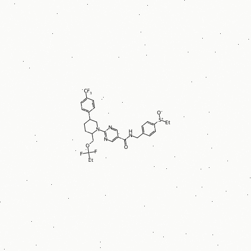 CC[S+]([O-])c1ccc(CNC(=O)c2cnc(N3CC(c4ccc(C(F)(F)F)cc4)CCC3COC(F)(F)CC)nc2)cc1